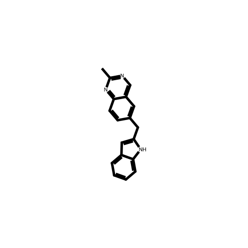 Cc1ncc2cc(Cc3cc4ccccc4[nH]3)ccc2n1